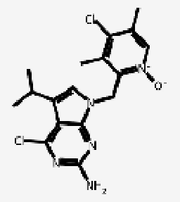 Cc1c[n+]([O-])c(Cn2cc(C(C)C)c3c(Cl)nc(N)nc32)c(C)c1Cl